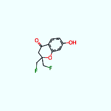 O=C1CC(CF)(CF)Oc2cc(O)ccc21